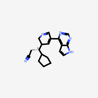 N#CC[C@H](C1C=C(c2ncnc3[nH]ccc23)C=NC1)C1CCCC1